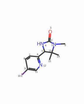 CN1C(=O)NC(c2ccc(I)cn2)C1(C)C